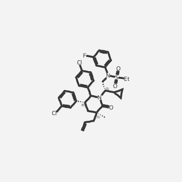 C=CC[C@@]1(C)C[C@H](c2cccc(Cl)c2)C(c2ccc(Cl)cc2)N([C@H](CN(c2cccc(F)c2)S(=O)(=O)CC)C2CC2)C1=O